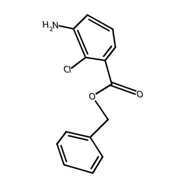 Nc1cccc(C(=O)OCc2ccccc2)c1Cl